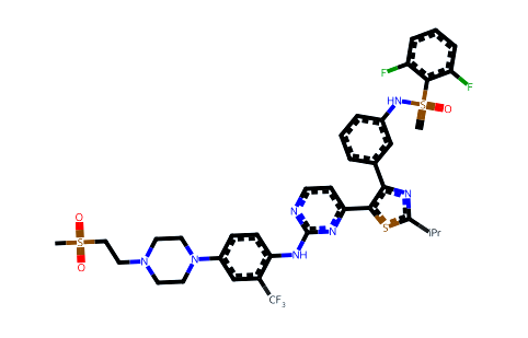 C=S(=O)(Nc1cccc(-c2nc(C(C)C)sc2-c2ccnc(Nc3ccc(N4CCN(CCS(C)(=O)=O)CC4)cc3C(F)(F)F)n2)c1)c1c(F)cccc1F